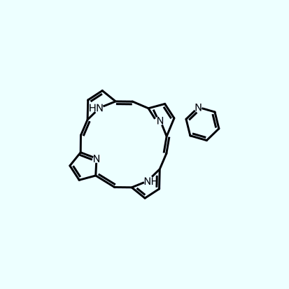 C1=Cc2cc3ccc(cc4nc(cc5ccc(cc1n2)[nH]5)C=C4)[nH]3.c1ccncc1